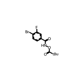 CC(C)(C)C(=O)ONC(=O)c1ccc(Br)c(F)c1